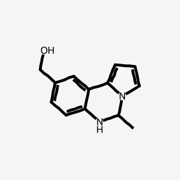 CC1Nc2ccc(CO)cc2-c2cccn21